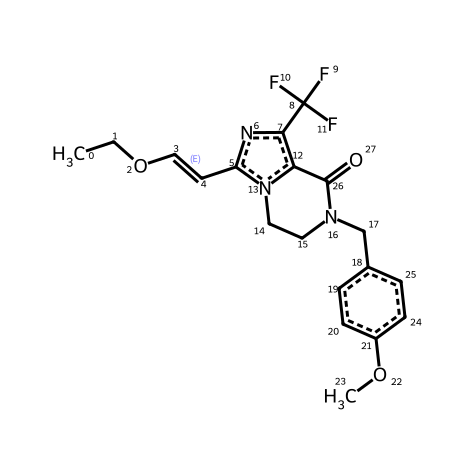 CCO/C=C/c1nc(C(F)(F)F)c2n1CCN(Cc1ccc(OC)cc1)C2=O